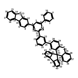 c1ccc(-c2cc(-c3ccc4c(c3)sc3ccccc34)nc(-c3cccc(-c4ccc5c(c4)C4(c6ccccc6S5)c5ccccc5-c5ccccc54)c3)n2)cc1